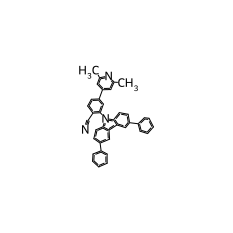 Cc1cc(-c2ccc(C#N)c(-n3c4ccc(-c5ccccc5)cc4c4cc(-c5ccccc5)ccc43)c2)cc(C)n1